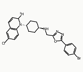 [2H]C1C=Cc2cc(Cl)ccc2N1[C@H]1CC[C@H](NCc2nnc(-c3ccc(Br)cc3)o2)CC1